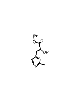 Cc1nccc(CC(O)C(=O)OC(C)C)n1